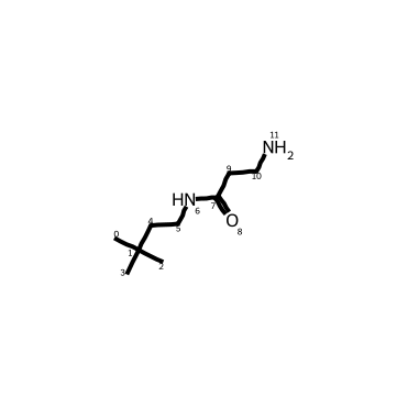 CC(C)(C)CCNC(=O)CCN